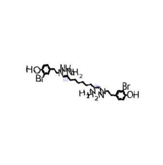 N/C(=C\N(N)CCc1ccc(O)c(Br)c1)CCCCCC/C(N)=C/N(N)CCc1ccc(O)c(Br)c1